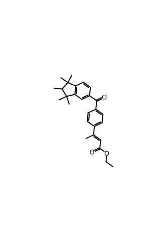 CCOC(=O)C=C(C)c1ccc(C(=O)c2ccc3c(c2)C(C)(C)C(C)C3(C)C)cc1